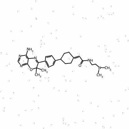 CN(C)CCNC(=O)C=C1CCC(c2ccc(C3=Nc4c(N)ncnc4OC3(C)C)cc2)CC1